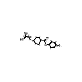 CCc1ccc(OC(=O)[C@H]2CC[C@H](CNC(=N)N)CC2)cc1